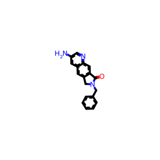 Nc1cnc2cc3c(cc2c1)CN(Cc1ccccc1)C3=O